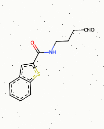 O=CCCCNC(=O)c1cc2ccccc2s1